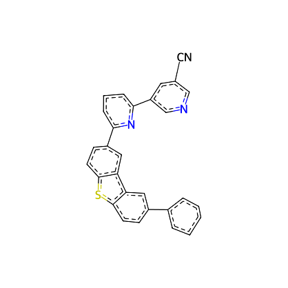 N#Cc1cncc(-c2cccc(-c3ccc4sc5ccc(-c6ccccc6)cc5c4c3)n2)c1